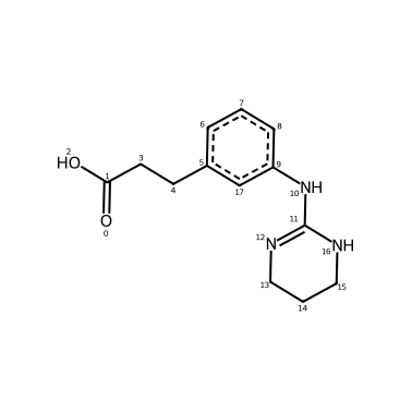 O=C(O)CCc1cccc(NC2=NCCCN2)c1